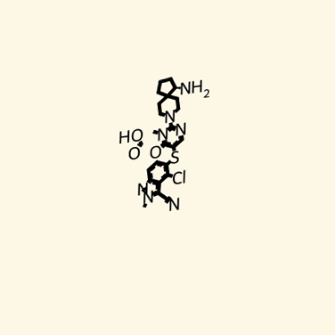 Cn1nc2ccc(Sc3cnc(N4CCC5(CCC[C@H]5N)CC4)n(C)c3=O)c(Cl)c2c1C#N.O=CO